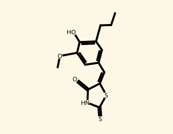 CCCc1cc(/C=C2/SC(=S)NC2=O)cc(OC)c1O